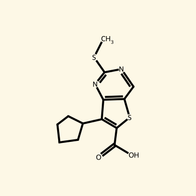 CSc1ncc2sc(C(=O)O)c(C3CCCC3)c2n1